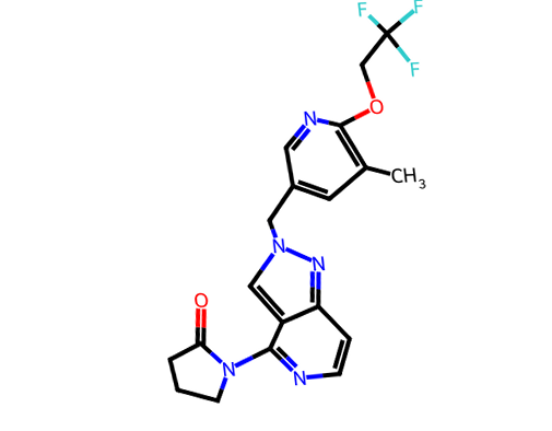 Cc1cc(Cn2cc3c(N4CCCC4=O)nccc3n2)cnc1OCC(F)(F)F